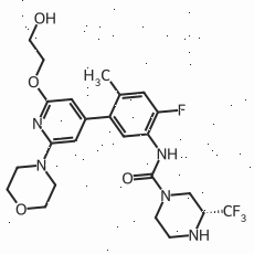 Cc1cc(F)c(NC(=O)N2CCN[C@@H](C(F)(F)F)C2)cc1-c1cc(OCCO)nc(N2CCOCC2)c1